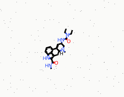 CCN(CC)C(=O)NC1C=C2c3cccc4[nH]c(C(=O)NC)c(c34)C[C@H]2N(C)C1